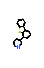 [c]1ccc2c(c1)sc1c(-c3cccnc3)cccc12